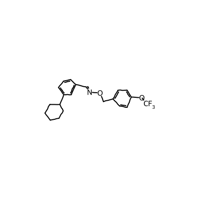 FC(F)(F)Oc1ccc(CON=[C]c2cccc(C3CCCCC3)c2)cc1